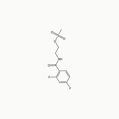 CS(=O)(=O)OCCNC(=O)c1ccc(F)cc1F